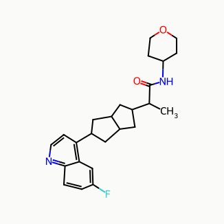 CC(C(=O)NC1CCOCC1)C1CC2CC(c3ccnc4ccc(F)cc34)CC2C1